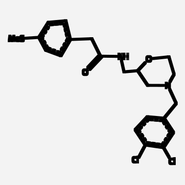 CSc1ccc(CC(=O)NCC2CN(Cc3ccc(Cl)c(Cl)c3)CCO2)cc1